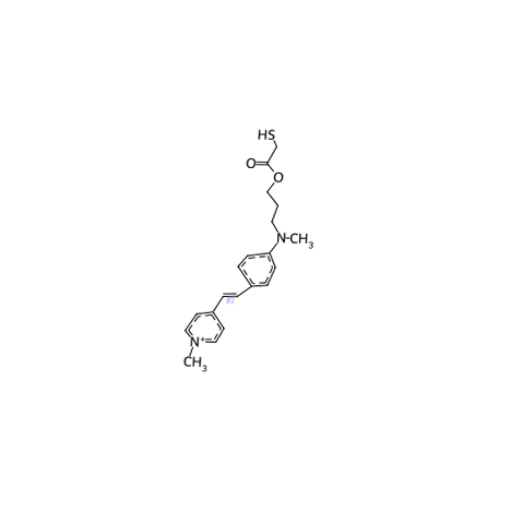 CN(CCCOC(=O)CS)c1ccc(/C=C/c2cc[n+](C)cc2)cc1